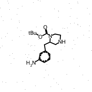 CC(C)(C)OC(=O)N1CCNCC1Cc1cccc(N)c1